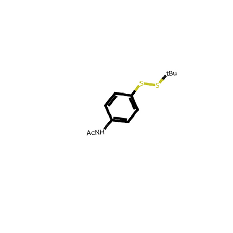 CC(=O)Nc1ccc(SSC(C)(C)C)cc1